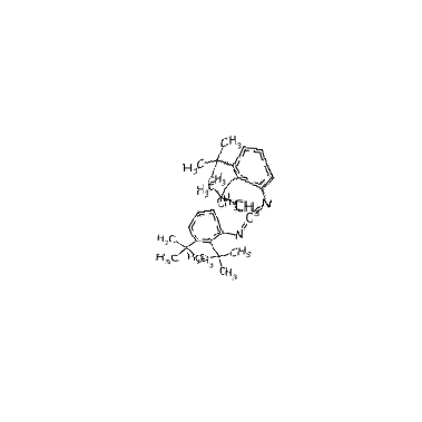 CC(C)(C)c1cccc(N=C=Nc2cccc(C(C)(C)C)c2C(C)(C)C)c1C(C)(C)C